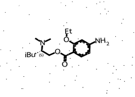 CCOc1cc(N)ccc1C(=O)OC[C@H](C(C)CC)N(C)C